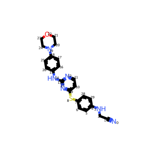 N#CCNc1ccc(Sc2ccnc(Nc3ccc(N4CCOCC4)cc3)n2)cc1